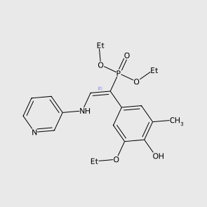 CCOc1cc(/C(=C\Nc2cccnc2)P(=O)(OCC)OCC)cc(C)c1O